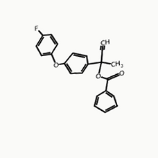 C#CC(C)(OC(=O)c1ccccc1)c1ccc(Oc2ccc(F)cc2)cc1